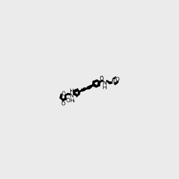 O=C(NCCN1CCOCC1)c1ccc(C#CC#Cc2ccc(NCc3occc(=O)c3O)cc2)cc1